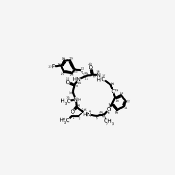 CCC[C@@H]1NC[C@@H](C)Oc2ccccc2CCCNC(=O)[C@@H](Cc2ccc(F)cc2)NC(=O)CN(C)C1=O